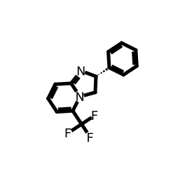 FC(F)(F)C1=CC=CC2=N[C@H](c3ccccc3)CN12